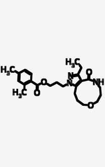 CCc1nn(CCCOC(=O)c2ccc(C)cc2C)c2c1C(=O)NCCCOCCC2